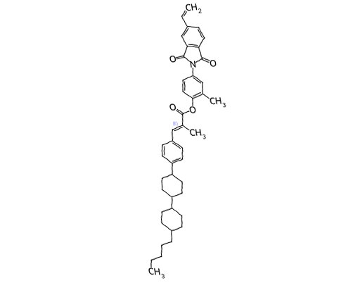 C=Cc1ccc2c(c1)C(=O)N(c1ccc(OC(=O)/C(C)=C/c3ccc(C4CCC(C5CCC(CCCCC)CC5)CC4)cc3)c(C)c1)C2=O